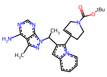 Cc1nn(C(C)c2cc3ccccn3c2C2=CCN(C(=O)OC(C)(C)C)CC2)c2ncnc(N)c12